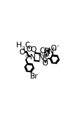 COC(=O)[C@H](Cc1ccc(Br)cc1)N1CCN(S(=O)(=O)c2ccccc2[N+](=O)[O-])[C@@H](C)C1=O